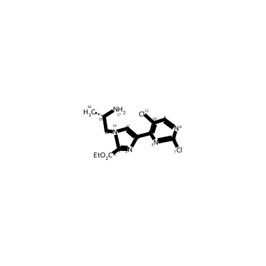 CCOC(=O)c1nc(-c2nc(Cl)ncc2Cl)cn1C[C@H](C)N